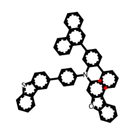 c1ccc(-c2ccc(-c3cc4ccccc4c4ccccc34)cc2N(c2ccc(-c3ccc4sc5ccccc5c4c3)cc2)c2ccc3c(c2)oc2ccccc23)cc1